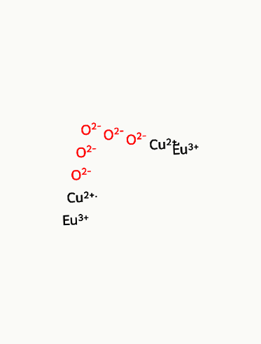 [Cu+2].[Cu+2].[Eu+3].[Eu+3].[O-2].[O-2].[O-2].[O-2].[O-2]